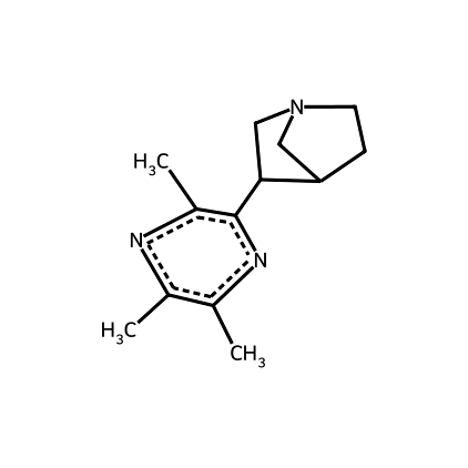 Cc1nc(C)c(C2CN3CCC2C3)nc1C